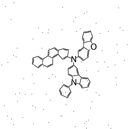 c1ccc(-n2c3ccccc3c3cc(N(c4ccc5ccc6c7ccccc7ccc6c5c4)c4ccc5oc6ccccc6c5c4)ccc32)cc1